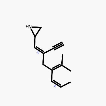 C#C/C(=C\C1CN1)CC(/C=C\C)=C(C)C